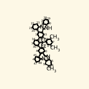 CCC(CC)(c1cc(C)cc(C)c1)c1c(-c2ccc3c(c2)-c2ccccc2N2c4ccccc4NC32)cccc1-c1ccc2c(c1)c1ccccc1n1c3c(nc21)C=CC(C)C3